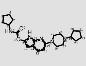 O=C(NC1CCCC1)Oc1cc2ccc(N3CCN(C4CCCC4)CC3)nc2[nH]1